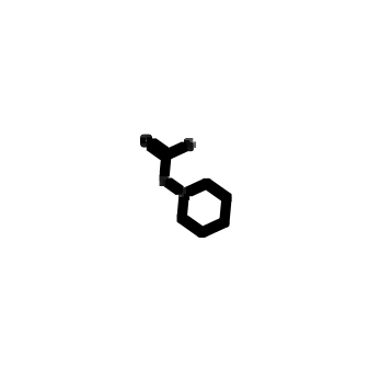 O=C([S])SN1CCCCC1